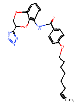 C=CCCCCCCOc1ccc(C(=O)Nc2cccc3c2OC(c2nnn[nH]2)CO3)cc1